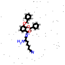 N#CCCCCC(N)C#[N+]C(=O)c1cccc(OCc2ccccc2)c1OCc1ccccc1